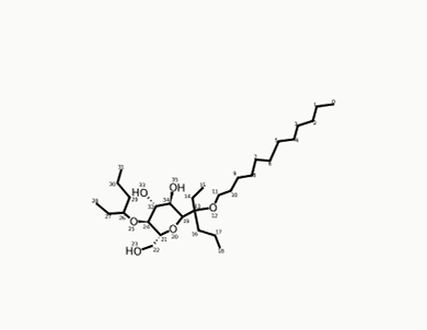 CCCCCCCCCCCCOC(CC)(CCC)C1O[C@H](CO)[C@@H](OC(CC)CCC)[C@H](O)[C@H]1O